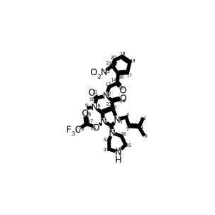 CC(C)=CCN1c2c(n(C)c(=O)n(CC(=O)c3ccccc3[N+](=O)[O-])c2=O)N(OC(=O)C(F)(F)F)C1N1CCNCC1